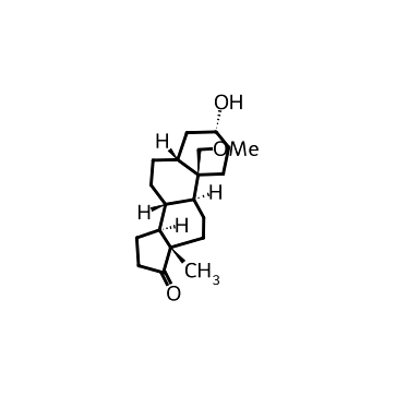 COC[C@]12CC[C@@H](O)C[C@H]1CC[C@@H]1[C@@H]2CC[C@]2(C)C(=O)CC[C@@H]12